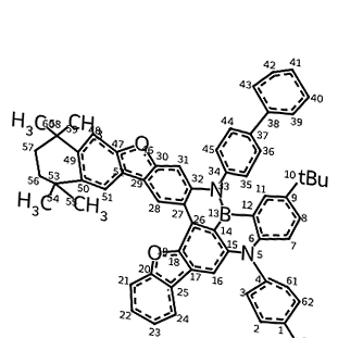 CC(C)(C)c1ccc(N2c3ccc(C(C)(C)C)cc3B3c4c2cc2c(oc5ccccc52)c4-c2cc4c(cc2N3c2ccc(-c3ccccc3)cc2)oc2cc3c(cc24)C(C)(C)CCC3(C)C)cc1